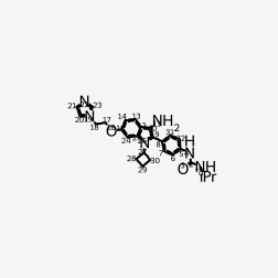 CC(C)NC(=O)Nc1ccc(-c2c(N)c3ccc(OCCn4ccnc4)cc3n2C2CCC2)cc1